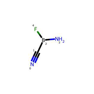 N#CB(N)F